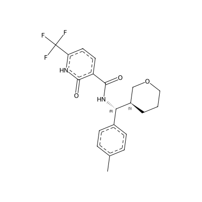 Cc1ccc([C@H](NC(=O)c2ccc(C(F)(F)F)[nH]c2=O)[C@@H]2CCCOC2)cc1